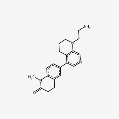 CN1C(=O)CCc2cc(-c3cncc4c3CCCN4CCN)ccc21